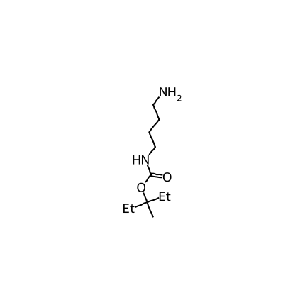 CCC(C)(CC)OC(=O)NCCCCN